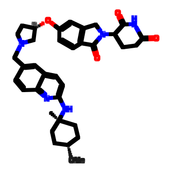 CO[C@H]1CC[C@](C)(Nc2ccc3cc(CN4CC[C@H](Oc5ccc6c(c5)CN(C5CCC(=O)NC5=O)C6=O)C4)ccc3n2)CC1